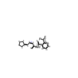 C=C(/C=C\C=C1CCCC1)NC(=C)c1cccnc1C(F)F